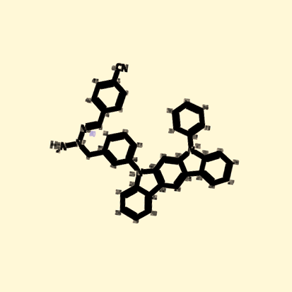 N#Cc1ccc(/C=N/N(N)Cc2cccc(-n3c4ccccc4c4cc5c6ccccc6n(-c6ccccc6)c5cc43)c2)cc1